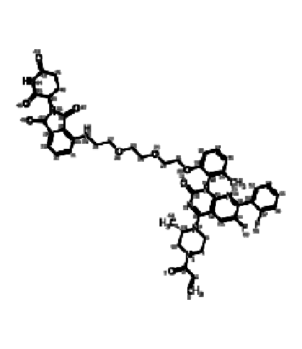 C=CC(=O)N1CCN(c2nc(=O)n(-c3c(C)cccc3OCCOCCOCCNc3cccc4c3C(=O)N(C3CCC(=O)NC3=O)C4=O)c3nc(-c4ccccc4F)c(F)cc23)[C@@H](C)C1